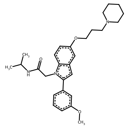 COc1cccc(-c2cc3cc(OCCCN4CCCCC4)ccc3n2CC(=O)NC(C)C)c1